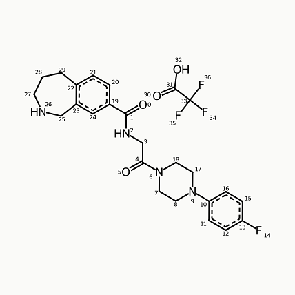 O=C(NCC(=O)N1CCN(c2ccc(F)cc2)CC1)c1ccc2c(c1)CNCCC2.O=C(O)C(F)(F)F